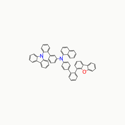 c1cc(-c2ccccc2-n2c3ccccc3c3ccccc32)cc(N(c2ccc(-c3ccccc3-c3cccc4c3oc3ccccc34)cc2)c2cccc3ccccc23)c1